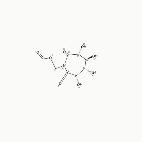 O=[C]OCN1C(=O)[C@@H](O)[C@@H](O)[C@H](O)[C@@H](O)C1=O